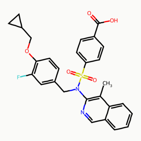 Cc1c(N(Cc2ccc(OCC3CC3)c(F)c2)S(=O)(=O)c2ccc(C(=O)O)cc2)ncc2ccccc12